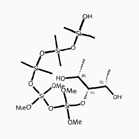 CO[Si](OC)(O[C@@H]([C@H](C)O)[C@@H](C)O)O[Si](OC)(OC)O[Si](C)(C)O[Si](C)(C)O[Si](C)(C)O